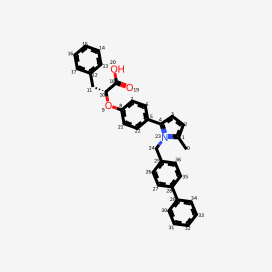 Cc1ccc(-c2ccc(O[C@H](Cc3ccccc3)C(=O)O)cc2)n1Cc1ccc(-c2ccccc2)cc1